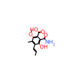 C/C=C/c1c(C)c(OC)c(C(=O)O)c(C(N)=O)c1O